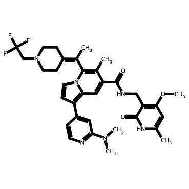 COc1cc(C)[nH]c(=O)c1CNC(=O)c1cc2c(-c3ccnc(N(C)C)c3)ccn2c(C(C)=C2CCN(CC(F)(F)F)CC2)c1C